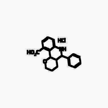 Cl.O=C(O)c1cccc2c1C1OCCCC1C(c1ccccc1)N2